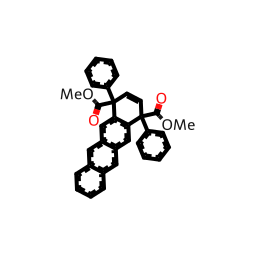 COC(=O)C1(c2ccccc2)C=CC(C(=O)OC)(c2ccccc2)c2cc3cc4ccccc4cc3cc21